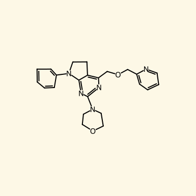 c1ccc(N2CCc3c(COCc4ccccn4)nc(N4CCOCC4)nc32)cc1